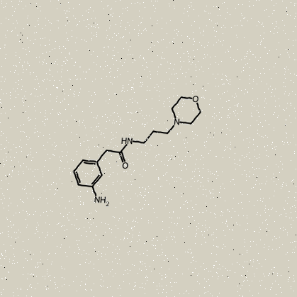 Nc1cccc(CC(=O)NCCCN2CCOCC2)c1